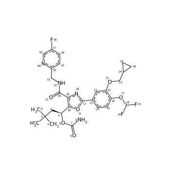 CC(C)(C)C[C@H](OC(N)=O)c1oc(-c2ccc(OC(F)F)c(OCC3CC3)c2)nc1C(=O)NCc1ccc(F)cn1